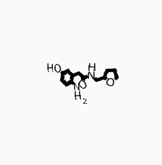 Nc1ccc(O)cc1CC(=O)NCC1CCCO1